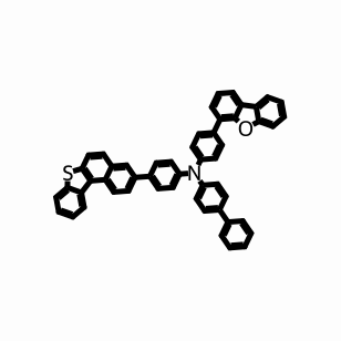 c1ccc(-c2ccc(N(c3ccc(-c4ccc5c(ccc6sc7ccccc7c65)c4)cc3)c3ccc(-c4cccc5c4oc4ccccc45)cc3)cc2)cc1